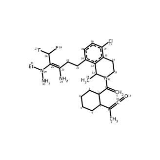 C=C(C1CCCCC1C(C)=C=O)N1CCc2c(Cl)ccc(CC/C(N)=C(\C(F)F)N(N)CC)c2C1C